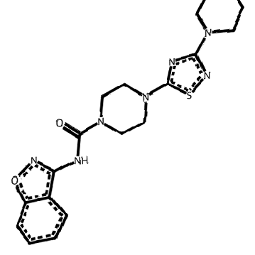 O=C(Nc1noc2ccccc12)N1CCN(c2nc(N3CCOCC3)ns2)CC1